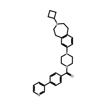 O=C(c1ccc(-c2cccnc2)cc1)N1CCN(c2ccc3c(c2)CCN(C2CCC2)CC3)CC1